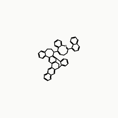 C1=C(/C2CCc3ccccc3-c3cc4c5c(c32)-c2ccccc2C(C5)c2cc3ccccc3cc2-4)c2ccccc2/N=C(/c2cccc3ccccc23)CC/1